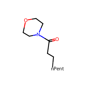 [CH2]CCCCCCC(=O)N1CCOCC1